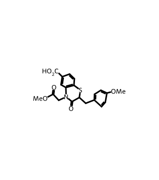 COC(=O)CN1C(=O)C(Cc2ccc(OC)cc2)Sc2ccc(C(=O)O)cc21